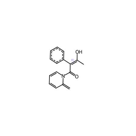 C=C1C=CC=CN1C(=O)/C(=C(\C)O)c1ccccc1